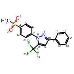 CS(=O)(=O)c1ccc(-n2nc(-c3ccccc3)cc2C(F)(F)F)cc1